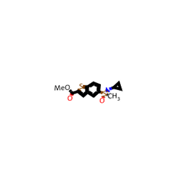 COC(=O)c1cc2cc(S(C)(=O)=NC3CC3)ccc2s1